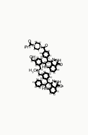 CC(C)C(=O)N1CCN(C(=O)c2ccc(C3c4n[nH]c(=O)c5cccc(c45)NC3c3ccc(CO)cc3CN(C)Cc3cccc(C4c5n[nH]c(=O)c6cccc(c56)NC4c4ccccc4)c3)cc2)CC1